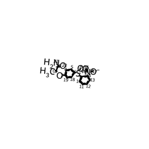 CC(Oc1ccc([S+]([O-])c2ccccc2[N+](=O)[O-])cc1)C(N)=O